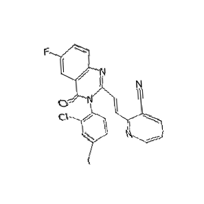 N#Cc1cccnc1/C=C/c1nc2ccc(F)cc2c(=O)n1-c1ccc(I)cc1Cl